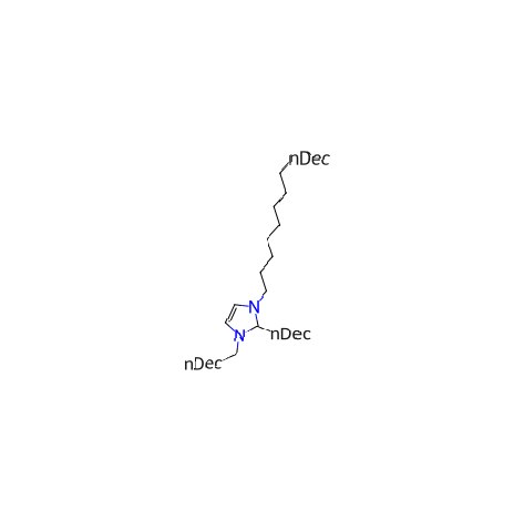 CCCCCCCCCCCCCCCCCCN1C=CN(CCCCCCCCCCC)C1CCCCCCCCCC